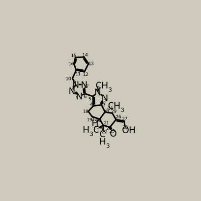 Cn1nc2c(c1-c1nnn(Cc3ccccc3)n1)CC[C@H]1C(C)(C)C(=O)/C(=C\O)C[C@]21C